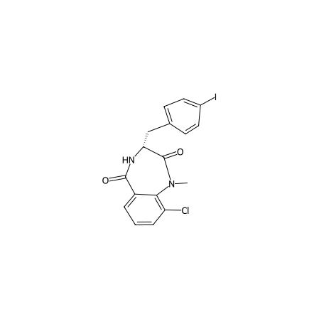 CN1C(=O)[C@@H](Cc2ccc(I)cc2)NC(=O)c2cccc(Cl)c21